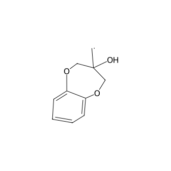 [CH2]C1(O)COc2ccccc2OC1